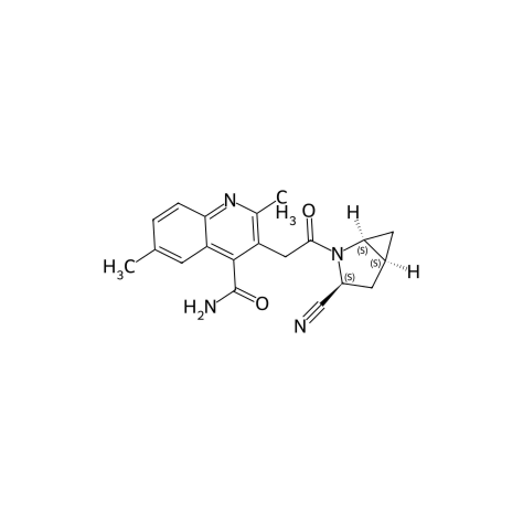 Cc1ccc2nc(C)c(CC(=O)N3[C@H](C#N)C[C@@H]4C[C@@H]43)c(C(N)=O)c2c1